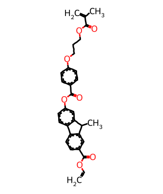 C=COC(=O)c1ccc2c(c1)C(C)c1cc(OC(=O)c3ccc(OCCCOC(=O)C(=C)C)cc3)ccc1-2